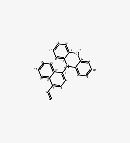 C=Cc1ccc(N2c3ccccc3Oc3ccccc32)c2ccccc12